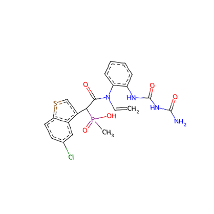 C=CN(C(=O)C(c1csc2ccc(Cl)cc12)P(C)(=O)O)c1ccccc1NC(=O)NC(N)=O